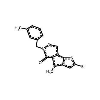 Cc1cccc(Cn2ncc3c4sc(Br)cc4n(C)c3c2=O)c1